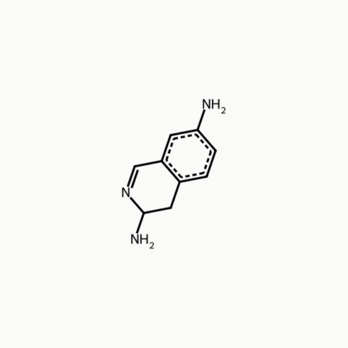 Nc1ccc2c(c1)C=NC(N)C2